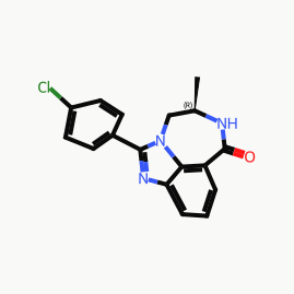 C[C@@H]1Cn2c(-c3ccc(Cl)cc3)nc3cccc(c32)C(=O)N1